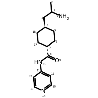 CC(N)C[C@H]1CC[C@H](C(=O)Nc2ccncc2)CC1